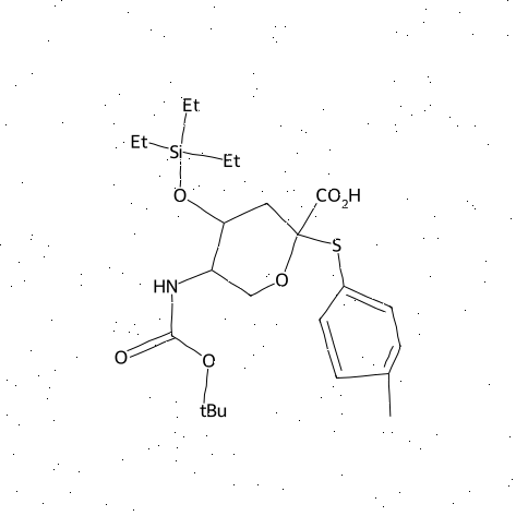 CC[Si](CC)(CC)OC1CC(Sc2ccc(C)cc2)(C(=O)O)OCC1NC(=O)OC(C)(C)C